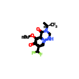 CCCCOc1c2n(cc(C(F)F)c1=O)NCN([C@H](C)C(F)(F)F)C2=O